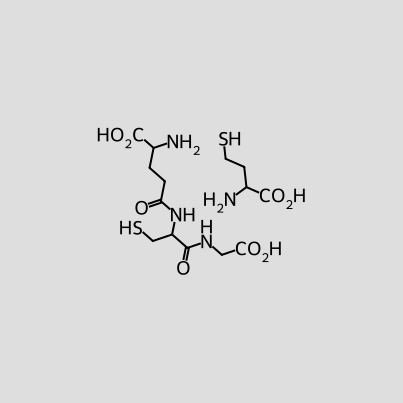 NC(CCC(=O)NC(CS)C(=O)NCC(=O)O)C(=O)O.NC(CCS)C(=O)O